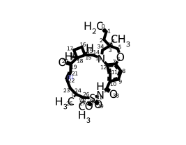 C=CC[C@]1(C)COc2ccc3cc2N(C[C@@H]2CC[C@H]2C(=O)/C=C/C[C@H](C)[C@@H](C)S(=O)(=O)NC3=O)C1